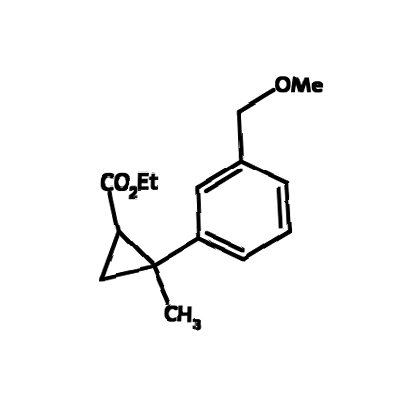 CCOC(=O)C1CC1(C)c1cccc(COC)c1